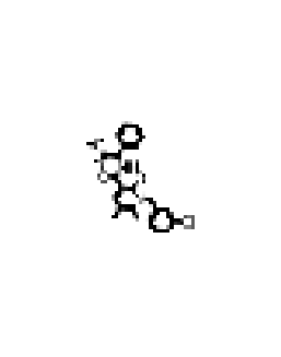 COC(=O)C(NC(=O)c1cc(C)c(C)n(Cc2cccc(Cl)c2)c1=O)c1ccccc1